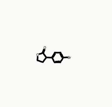 O=C1OCCC1c1ccc(Br)cc1